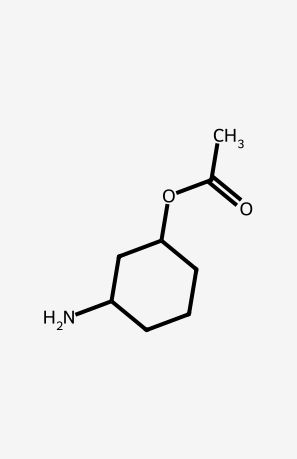 CC(=O)OC1CCCC(N)C1